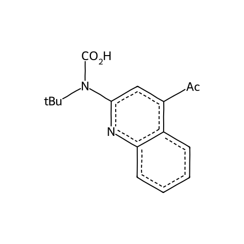 CC(=O)c1cc(N(C(=O)O)C(C)(C)C)nc2ccccc12